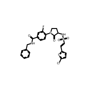 O=C(NCc1ccccc1)c1ccc(N2CCC(NS(=O)(=O)C=Cc3ccc(Cl)s3)C2=O)c(F)c1